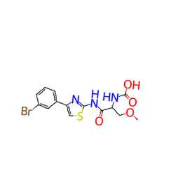 COCC(NC(=O)O)C(=O)Nc1nc(-c2cccc(Br)c2)cs1